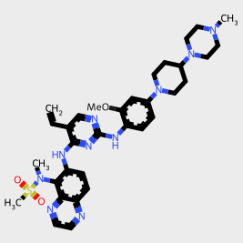 C=Cc1cnc(Nc2ccc(N3CCC(N4CCN(C)CC4)CC3)cc2OC)nc1Nc1ccc2nccnc2c1N(C)S(C)(=O)=O